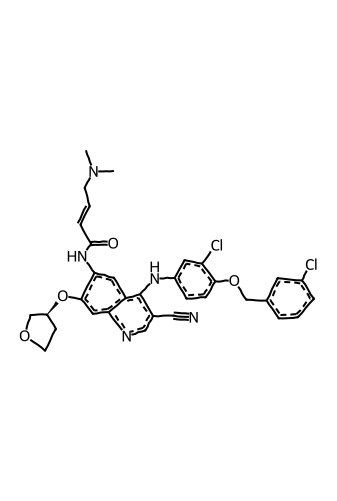 CN(C)C/C=C/C(=O)Nc1cc2c(Nc3ccc(OCc4cccc(Cl)c4)c(Cl)c3)c(C#N)cnc2cc1O[C@H]1CCOC1